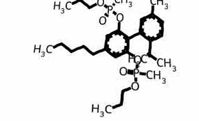 C=C(C)c1ccc(C)cc1-c1c(OP(C)(=O)OCCC)cc(CCCCC)cc1OP(C)(=O)OCCC